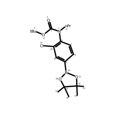 CCCN(C(=O)OC(C)(C)C)c1ccc(B2OC(C)(C)C(C)(C)O2)cc1Cl